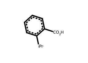 C[C](C)c1ccccc1C(=O)O